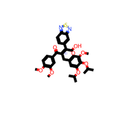 COc1ccc(C(=O)/C(Cc2cc(OC)c(OC(C)C)c(OC(C)C)c2)=C(/C(=O)O)c2ccc3nsnc3c2)cc1OC